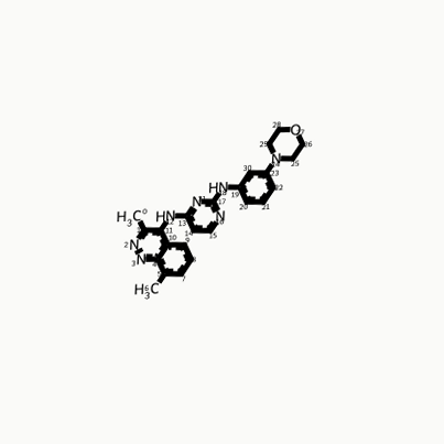 Cc1nnc2c(C)cccc2c1Nc1ccnc(Nc2cccc(N3CCOCC3)c2)n1